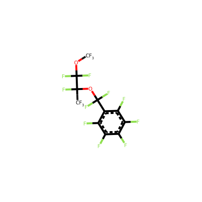 Fc1c(F)c(F)c(C(F)(F)OC(F)(C(F)(F)F)C(F)(F)OC(F)(F)F)c(F)c1F